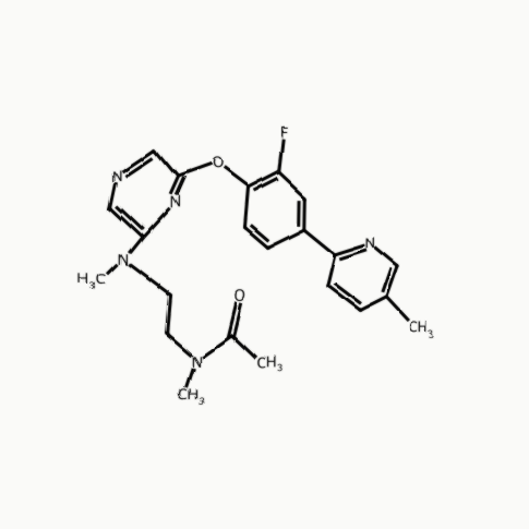 CC(=O)N(C)CCN(C)c1cncc(Oc2ccc(-c3ccc(C)cn3)cc2F)n1